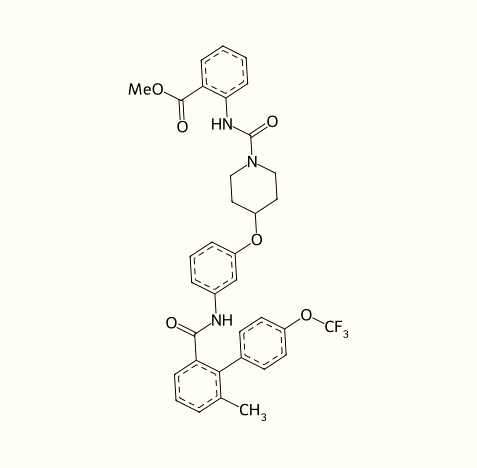 COC(=O)c1ccccc1NC(=O)N1CCC(Oc2cccc(NC(=O)c3cccc(C)c3-c3ccc(OC(F)(F)F)cc3)c2)CC1